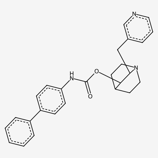 O=C(Nc1ccc(-c2ccccc2)cc1)OC1C2CCN(CC2)C1Cc1cccnc1